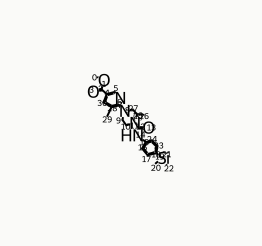 COC(=O)c1cnc(N2CCN(C(=O)Nc3ccc([Si](C)(C)C)cc3)[C@H](C)C2)c(C)c1